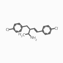 CC(N)C(C=Cc1ccc(Cl)cc1)Cc1ccc(Cl)cc1